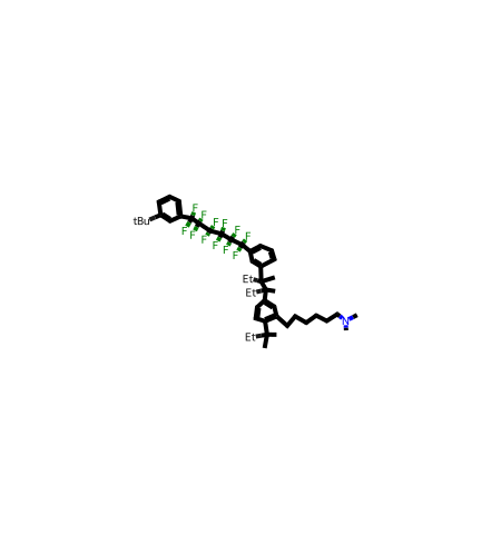 CCC(C)(C)c1ccc(C(C)(CC)C(C)(CC)c2cccc(C(F)(F)C(F)(F)C(F)(F)C(F)(F)C(F)(F)C(F)(F)c3cccc(C(C)(C)C)c3)c2)cc1CCCCCCN(C)C